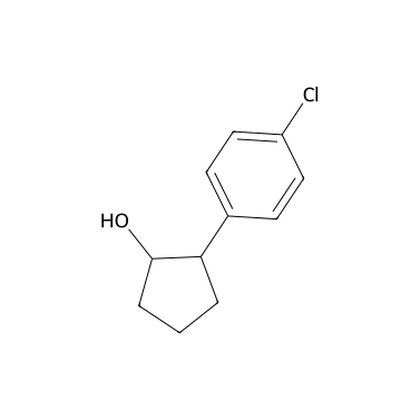 OC1CCCC1c1ccc(Cl)cc1